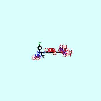 CC(C)c1nc(N(C)S(C)(=O)=O)nc(-c2ccc(F)cc2)c1/C=C/C(O)CC(O)CC(=O)OCCC(CON(O)O)ON(O)O